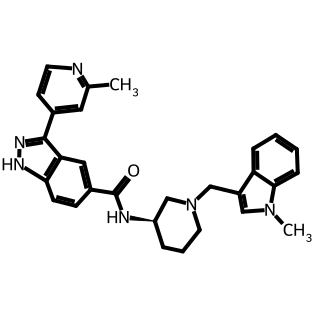 Cc1cc(-c2n[nH]c3ccc(C(=O)N[C@@H]4CCCN(Cc5cn(C)c6ccccc56)C4)cc23)ccn1